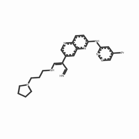 CC(C)c1cnnc(Nc2ccc3ncc(/C(C=N)=C/NCCCN4CCCC4)cc3n2)c1